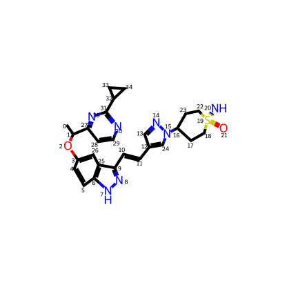 CC(Oc1ccc2[nH]nc(/C=C/c3cnn(C4CCS(=N)(=O)CC4)c3)c2c1)c1ccnc(C2CC2)n1